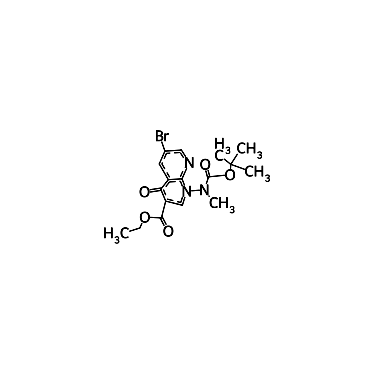 CCOC(=O)c1cn(N(C)C(=O)OC(C)(C)C)c2ncc(Br)cc2c1=O